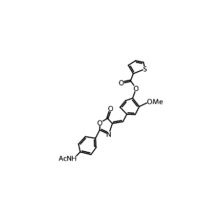 COc1cc(/C=C2/N=C(c3ccc(NC(C)=O)cc3)OC2=O)ccc1OC(=O)c1cccs1